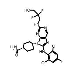 NC(=O)[C@H]1CC[C@H](n2c(Nc3c(Cl)cc(F)cc3Cl)nc3cnc(NCC(F)(F)CO)nc32)CC1